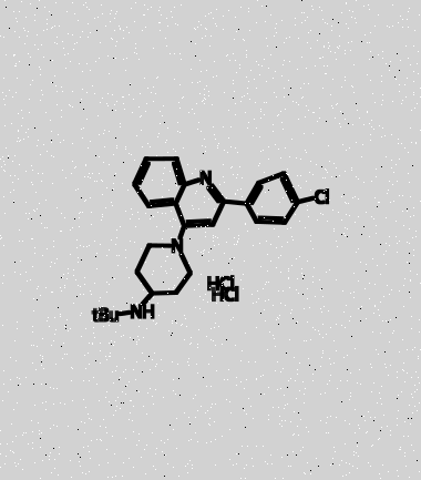 CC(C)(C)NC1CCN(c2cc(-c3ccc(Cl)cc3)nc3ccccc23)CC1.Cl.Cl